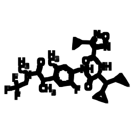 Cc1cc(NC(=O)[C@@H](NC(=O)c2nonc2C2CC2)C(C2CC2)C2CC2)c(F)cc1C(C)C(=O)N(C)CC(F)(F)F